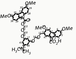 COc1ccc2c(c1)c1cc(OC)c(COCOc3cc(OCOCOC(=O)n4c5ccc(OC)cc5c5cc(OC)ccc54)cc(N(C)C)c3)cc1n2C(=O)O